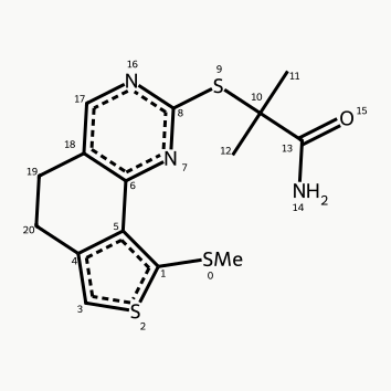 CSc1scc2c1-c1nc(SC(C)(C)C(N)=O)ncc1CC2